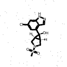 CS(=O)(=O)N1C[C@@H]2[C@H](C1)[C@@]2(O)c1cc(Cl)cc2[nH]ncc12